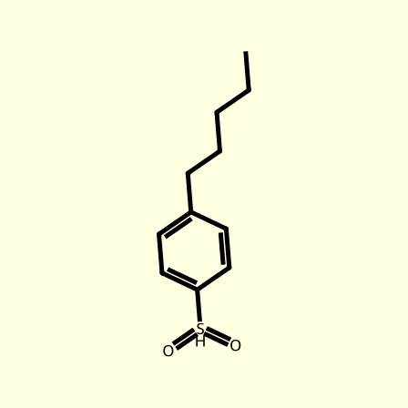 CCCCCc1ccc([SH](=O)=O)cc1